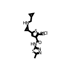 Cc1nnc(NC(=O)c2cc(C3CC3NCC3CC3)sc2C)s1.Cl.Cl